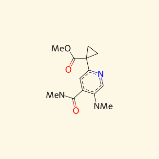 CNC(=O)c1cc(C2(C(=O)OC)CC2)ncc1NC